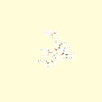 CCCC[C@H](NC)C(=O)OC(CC(=O)[C@H]([C@@H](C)CCCC(C)O)N(C)C(=O)[C@H](C)NC)(CC(C)O)C(=O)O